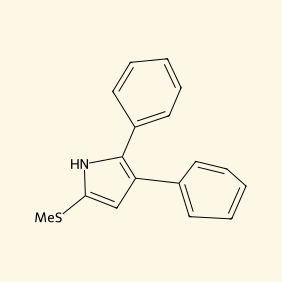 CSc1cc(-c2ccccc2)c(-c2ccccc2)[nH]1